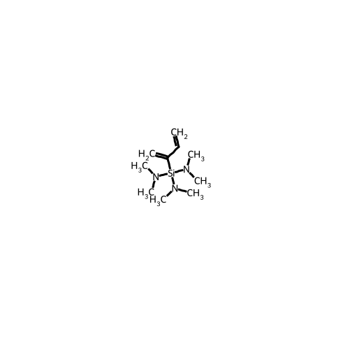 C=CC(=C)[Si](N(C)C)(N(C)C)N(C)C